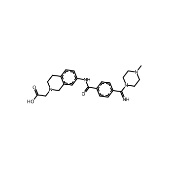 CN1CCN(C(=N)c2ccc(C(=O)Nc3ccc4c(c3)CN(CC(=O)O)CC4)cc2)CC1